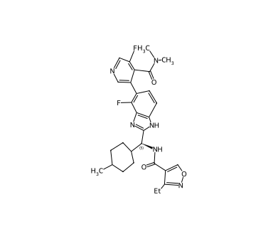 CCc1nocc1C(=O)N[C@H](c1nc2c(F)c(-c3cncc(F)c3C(=O)N(C)C)ccc2[nH]1)C1CCC(C)CC1